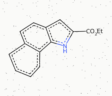 CCOC(=O)c1cc2ccc3ccccc3c2[nH]1